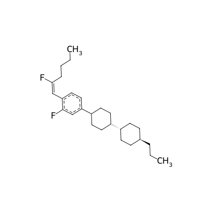 CCCC/C(F)=C\c1ccc(C2CCC([C@H]3CC[C@H](CCC)CC3)CC2)cc1F